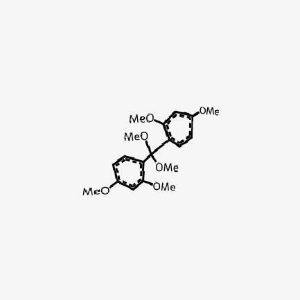 COc1ccc(C(OC)(OC)c2ccc(OC)cc2OC)c(OC)c1